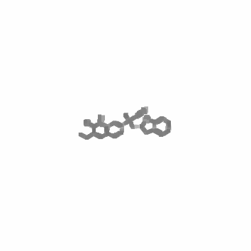 CCc1cc2ccc([C@](C)(C#N)C[C@H]3Cc4ccccc4O3)cc2[nH]c1=O